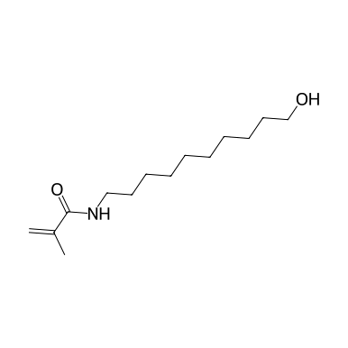 C=C(C)C(=O)NCCCCCCCCCCO